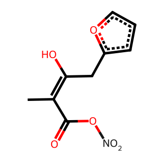 CC(C(=O)O[N+](=O)[O-])=C(O)Cc1ccco1